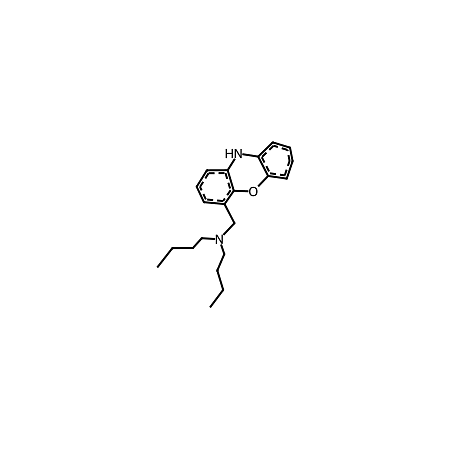 CCCCN(CCCC)Cc1cccc2c1Oc1ccccc1N2